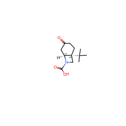 CC(C)(C)[C@@]12CCC(=O)C[C@@H]1N(C(=O)O)C2